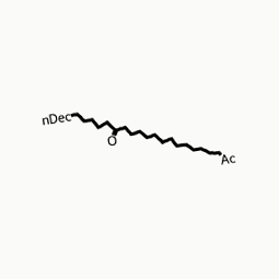 CCCCCCCCCCCCCCCC(=O)CCCCCCCCCCCCCC(C)=O